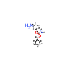 CN(CC1CCC(N)CC1)C(=O)OCc1ccccc1